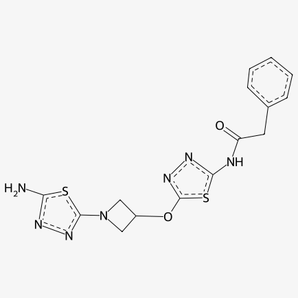 Nc1nnc(N2CC(Oc3nnc(NC(=O)Cc4ccccc4)s3)C2)s1